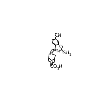 N#Cc1ccc(C(CN2CC3CC(C2)CN(C(=O)O)C3)NC(N)=O)cc1